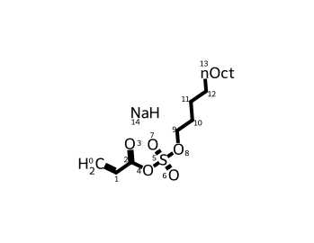 C=CC(=O)OS(=O)(=O)OCCCCCCCCCCCC.[NaH]